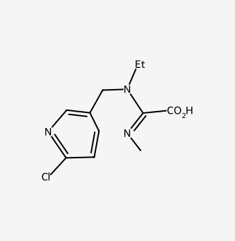 CCN(Cc1ccc(Cl)nc1)C(=NC)C(=O)O